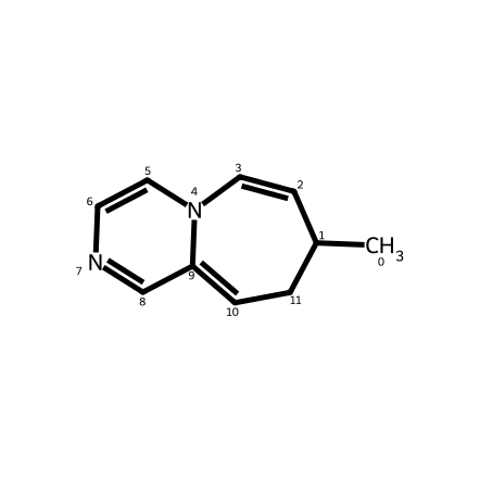 CC1C=CN2C=CN=CC2=CC1